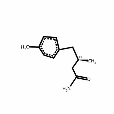 Cc1ccc(C[C@@H](C)CC(N)=O)cc1